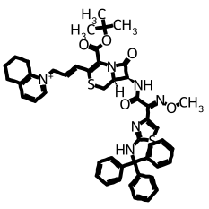 CON=C(C(=O)N[C@@H]1C(=O)N2C(C(=O)OC(C)(C)C)=C(C=CC[n+]3cccc4c3CCCC4)SC[C@H]12)c1csc(NC(c2ccccc2)(c2ccccc2)c2ccccc2)n1